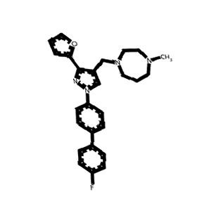 CN1CCCN(Cc2cn(-c3ccc(-c4ccc(F)cc4)cc3)nc2-c2ccco2)CC1